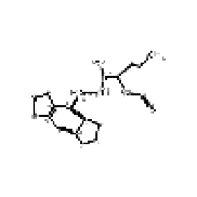 CCCC(NC=O)N(O)NNc1c2c(cc3c1CCC3)CCC2